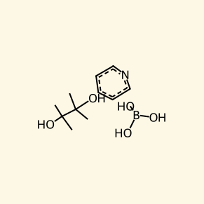 CC(C)(O)C(C)(C)O.OB(O)O.c1ccncc1